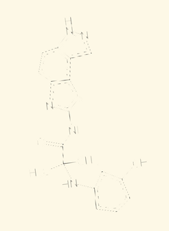 Cc1cccc(NC(C)(C)C(=O)Nc2nc3ccc4[nH]ncc4c3s2)c1